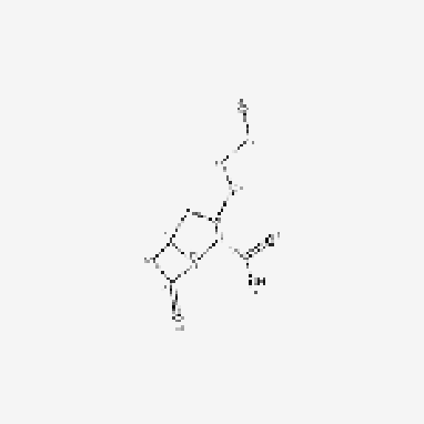 O=C(O)[C@H]1C(SCCO)CC2CC(=O)N21